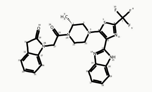 C[C@@H]1CN(c2sc(C(F)(F)F)nc2-c2nc3ccccc3[nH]2)CCN1C(=O)CN1C(=O)Cc2ccccc21